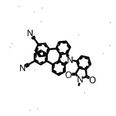 CN1C(=O)c2cccc(-n3c4cccc(-c5cccc(C#N)c5)c4c4c(-c5cccc(C#N)c5)cccc43)c2C1=O